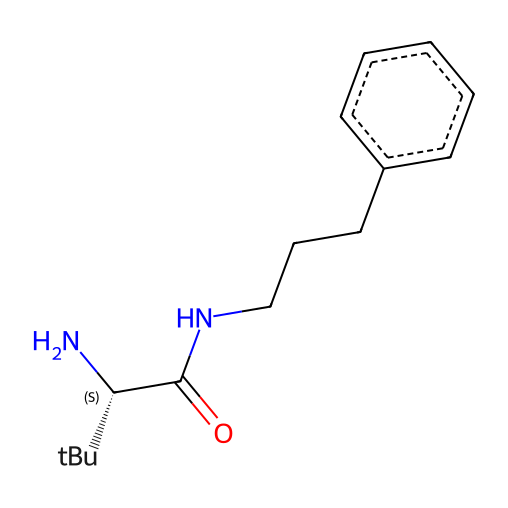 CC(C)(C)[C@H](N)C(=O)NCCCc1ccccc1